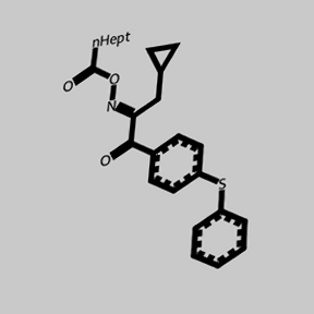 CCCCCCCC(=O)O/N=C(\CC1CC1)C(=O)c1ccc(Sc2ccccc2)cc1